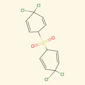 O=S(=O)(C1C=CC(Cl)(Cl)C=C1)C1C=CC(Cl)(Cl)C=C1